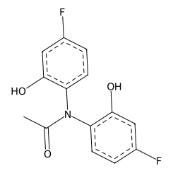 CC(=O)N(c1ccc(F)cc1O)c1ccc(F)cc1O